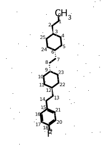 CCC[C@H]1CC[C@H](CC[C@H]2CC[C@H](CCc3ccc(F)cc3)CC2)CC1